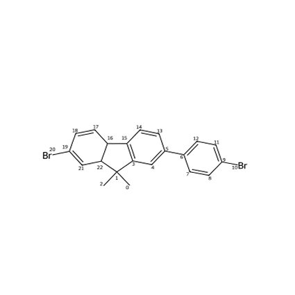 CC1(C)c2cc(-c3ccc(Br)cc3)ccc2C2C=CC(Br)=CC21